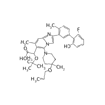 C=CCOC1(C)CCN(c2c(C(OC(C)(C)C)C(=O)O)c(C)cc3nc(-c4cc(-c5c(O)cccc5F)ccc4C)cn23)CC1